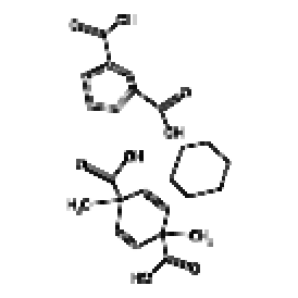 C1CCCCC1.CC1(C(=O)O)C=CC(C)(C(=O)O)C=C1.O=C(O)c1cccc(C(=O)O)c1